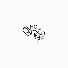 O=C(C(F)(F)F)C(F)(F)C(O)C1C2CC3CC(C2)CC1C3